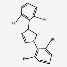 CC(C)c1cccc(C(C)C)c1C1CN(c2c(C(C)C)cccc2C(C)C)C=N1